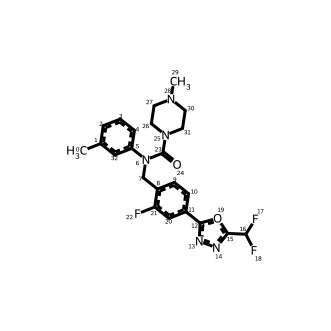 Cc1cccc(N(Cc2ccc(-c3nnc(C(F)F)o3)cc2F)C(=O)N2CCN(C)CC2)c1